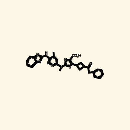 Cc1cc(N(C)c2nc(C(=O)O)c(C3CN(C(=O)Cc4ccccc4)C3)s2)nnc1Nc1nc2ccccc2s1